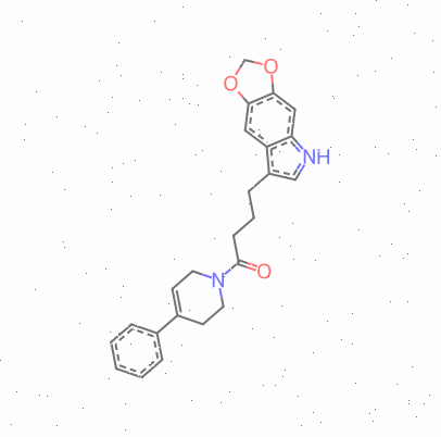 O=C(CCCc1c[nH]c2cc3c(cc12)OCO3)N1CC=C(c2ccccc2)CC1